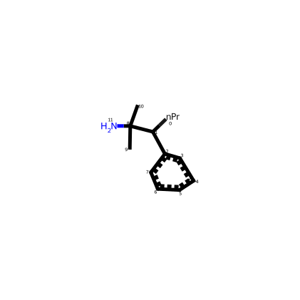 CCCC(c1ccccc1)C(C)(C)N